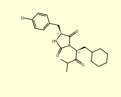 CC(C)C(=O)[C@H](CC1CCCCC1)N1C(=O)N[C@@H](Cc2ccc(Cl)cc2)C1=O